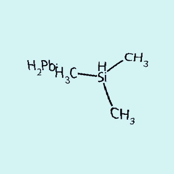 C[SiH](C)C.[PbH2]